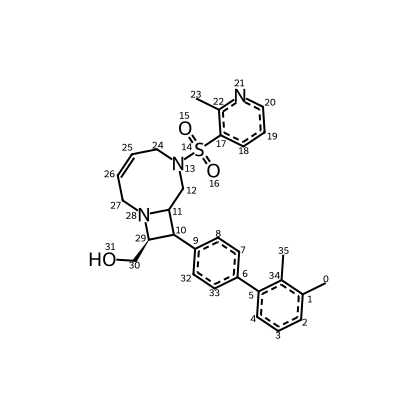 Cc1cccc(-c2ccc(C3C4CN(S(=O)(=O)c5cccnc5C)C/C=C\CN4[C@@H]3CO)cc2)c1C